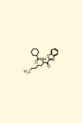 CCCCCC(NC(=O)C1CCCCC1)C(=O)c1nc2ccccc2s1